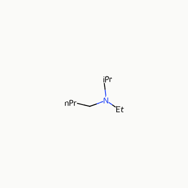 [CH2]CN(CCCC)C(C)C